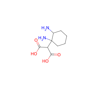 NC1CCCCC1(N)C(C(=O)O)C(=O)O